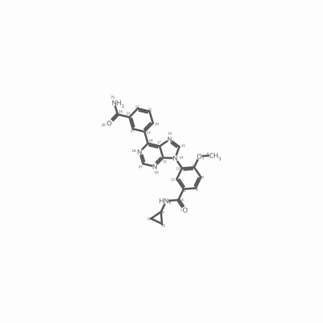 COc1ccc(C(=O)NC2CC2)cc1-n1cnc2c(-c3cccc(C(N)=O)c3)ncnc21